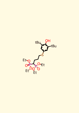 CCOP(=O)(OCC)C(CCCSc1cc(C(C)(C)C)c(O)c(C(C)(C)C)c1)P(=O)(OCC)OCC